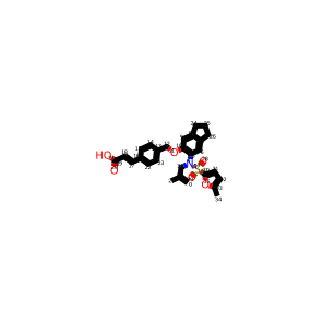 C=C(C)CN(c1cc2c(cc1OCc1ccc(C=CC(=O)O)cc1)CCC2)S(=O)(=O)c1ccc(C)o1